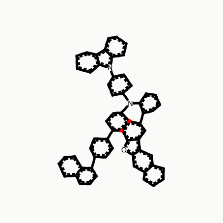 c1ccc(N(c2ccc(-c3ccc(-c4cccc5ccccc45)cc3)cc2)c2ccc(-n3c4ccccc4c4ccccc43)cc2)c(-c2ccc3oc4cc5ccccc5cc4c3c2)c1